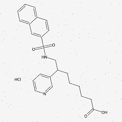 Cl.O=C(O)CCCCCC(CNS(=O)(=O)c1ccc2ccccc2c1)c1cccnc1